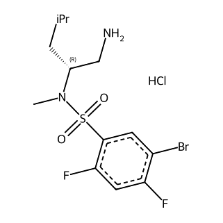 CC(C)C[C@H](CN)N(C)S(=O)(=O)c1cc(Br)c(F)cc1F.Cl